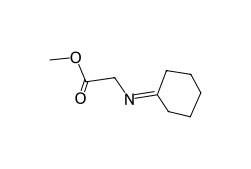 COC(=O)CN=C1CCCCC1